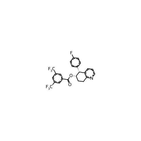 O=C(O[C@H]1CCc2ncccc2[C@H]1c1ccc(F)cc1)c1cc(C(F)(F)F)cc(C(F)(F)F)c1